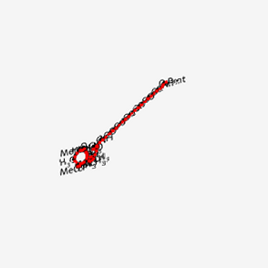 CCCCCNC(=O)CCOCCOCCOCCOCCOCCOCCOCCOCCOCCOCCOCCOCCNC(=O)CCN1C(=O)CC(SCCC(=O)N(C)[C@H](C)C(=O)O[C@H]2CC(=O)N(C)c3cc(cc(OC)c3Cl)C/C(C)=C/C=C/[C@@H](OC)[C@@]3(O)C[C@H](OC(=O)N3)[C@@H](C)[C@@H]3O[C@@]23C)C1=O